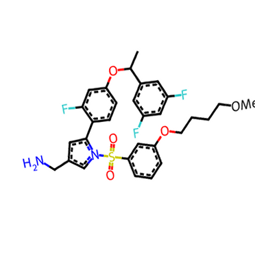 COCCCCOc1cccc(S(=O)(=O)n2cc(CN)cc2-c2ccc(OC(C)c3cc(F)cc(F)c3)cc2F)c1